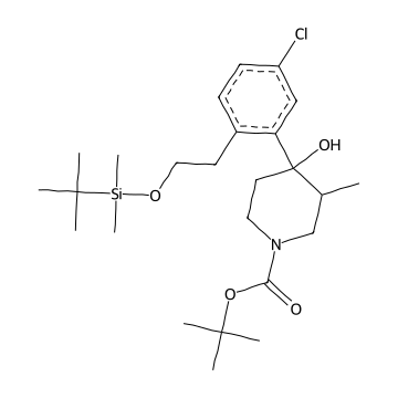 CC1CN(C(=O)OC(C)(C)C)CCC1(O)c1cc(Cl)ccc1CCO[Si](C)(C)C(C)(C)C